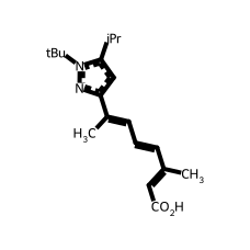 CC(C=CC=C(C)c1cc(C(C)C)n(C(C)(C)C)n1)=CC(=O)O